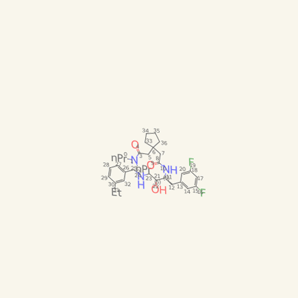 CCCN(CCC)C(=O)CC1(CC(=O)N[C@@H](Cc2cc(F)cc(F)c2)[C@@H](O)CNCc2cccc(CC)c2)CCCC1